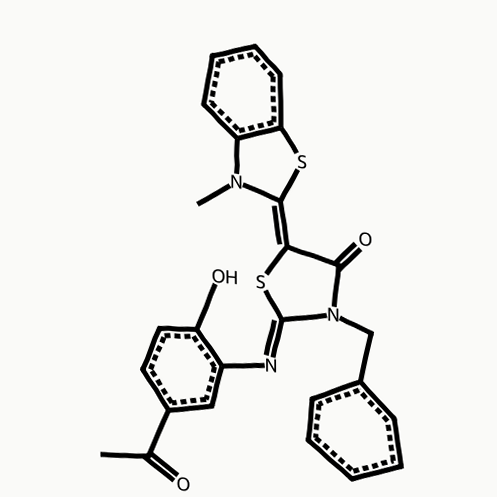 CC(=O)c1ccc(O)c(N=C2SC(=C3Sc4ccccc4N3C)C(=O)N2Cc2ccccc2)c1